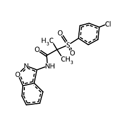 CC(C)(C(=O)Nc1noc2ccccc12)S(=O)(=O)c1ccc(Cl)cc1